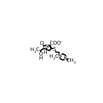 C[C@@H](O)[C@H]1C(=O)N2C(C(=O)[O-])=C(SCC[N+]3(C)CCN(C)CC3)C[C@H]12